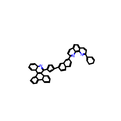 C1=CC2N=C(c3ccc(C4=CC5C=C(c6ccc7ccc8ccc(C9=CCCC=C9)nc8c7n6)C=CC5C=C4)cc3)C3=C(c4ccccc4C4C=CC=CC34)C2C=C1